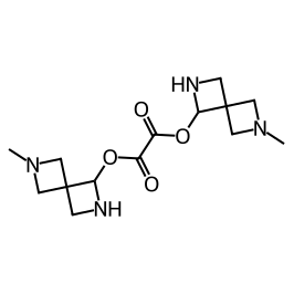 CN1CC2(CNC2OC(=O)C(=O)OC2NCC23CN(C)C3)C1